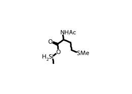 C[SiH2]OC(=O)C(CCSC)NC(C)=O